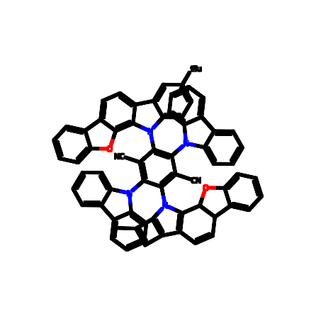 CC1=Cc2c3c(n(-c4c(C#N)c(-n5c6ccccc6c6ccccc65)c(-n5c6ccc(C(C)(C)C)cc6c6ccc7c8ccccc8oc7c65)c(C#N)c4-n4c5ccccc5c5ccccc54)c21)C1Oc2ccccc2C1C=C3